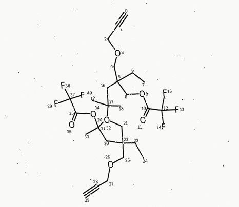 C#CCOCC(CC)(COC(=O)C(F)(F)F)CC(C)(C)OCC(CC)(COCC#C)CC(C)(C)OC(=O)C(F)(F)F